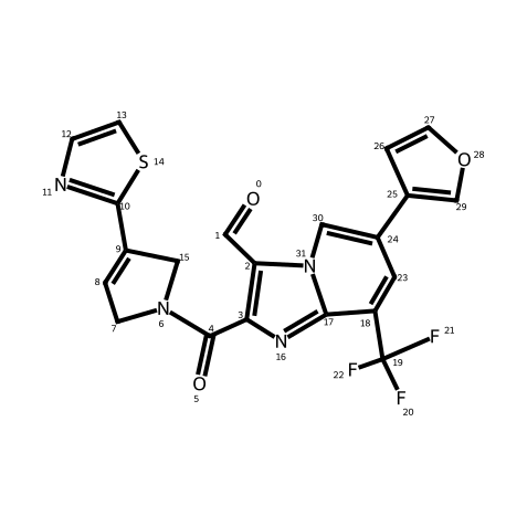 O=Cc1c(C(=O)N2CC=C(c3nccs3)C2)nc2c(C(F)(F)F)cc(-c3ccoc3)cn12